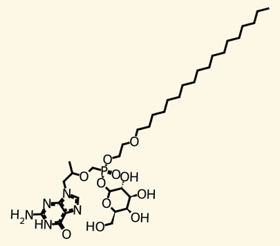 CCCCCCCCCCCCCCCCCCOCCOP(=O)(COC(C)Cn1cnc2c(=O)[nH]c(N)nc21)OC1O[C@H](CO)[C@H](O)[C@H](O)[C@H]1O